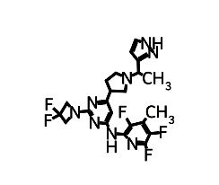 Cc1c(F)c(F)nc(Nc2cc(C3CCN(C(C)c4cc[nH]n4)C3)nc(N3CC(F)(F)C3)n2)c1F